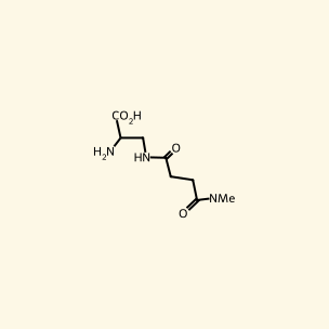 CNC(=O)CCC(=O)NCC(N)C(=O)O